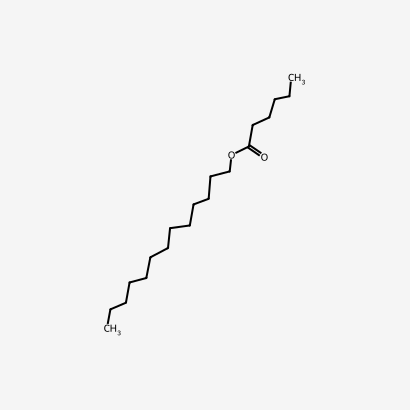 CCCCCCCCCCCCCOC(=O)CCCCC